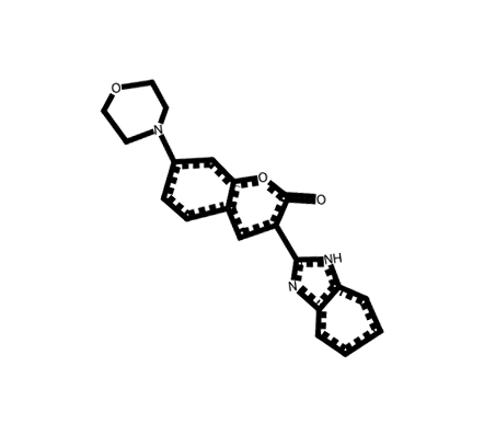 O=c1oc2cc(N3CCOCC3)ccc2cc1-c1nc2ccccc2[nH]1